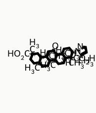 Cc1ccnn1[C@H]1CC[C@@]2(C)[C@@H](CC[C@]3(C)[C@@H]2C(=O)C=C2[C@@H]4C[C@@](C)(C(=O)O)CC[C@]4(C)CC[C@]23C)[C@]1(C)C(=O)O